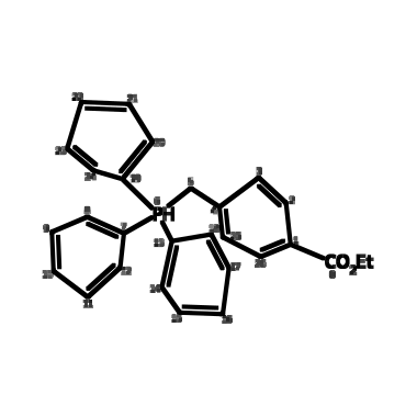 CCOC(=O)c1ccc(C[PH](c2ccccc2)(c2ccccc2)c2ccccc2)cc1